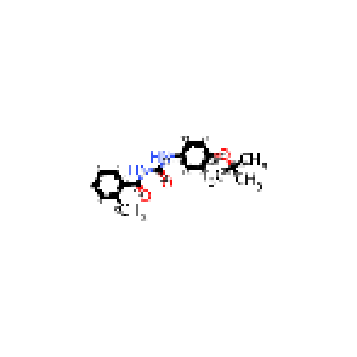 Cc1ccccc1C(=O)NC(=O)Nc1ccc(OC(C)(C)C)cc1